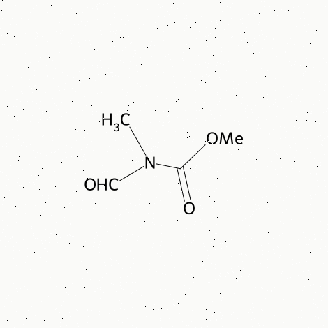 COC(=O)N(C)C=O